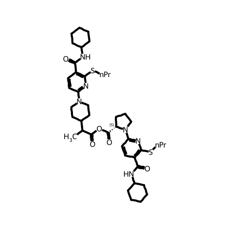 CCCSc1nc(N2CCC(C(C)C(=O)OC(=O)[C@@H]3CCCN3c3ccc(C(=O)NC4CCCCC4)c(SCCC)n3)CC2)ccc1C(=O)NC1CCCCC1